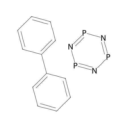 c1ccc(-c2ccccc2)cc1.n1pnpnp1